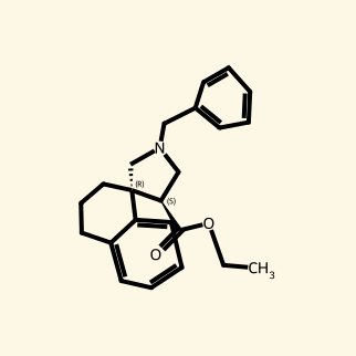 CCOC(=O)[C@@H]1CN(Cc2ccccc2)C[C@]12CCCc1ccccc12